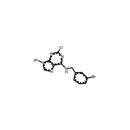 CC(C)n1cnc2c(NCc3cccc(Br)c3)nc(Cl)nc21